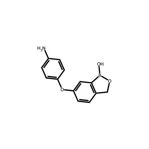 Nc1ccc(Oc2ccc3c(c2)B(O)OC3)cc1